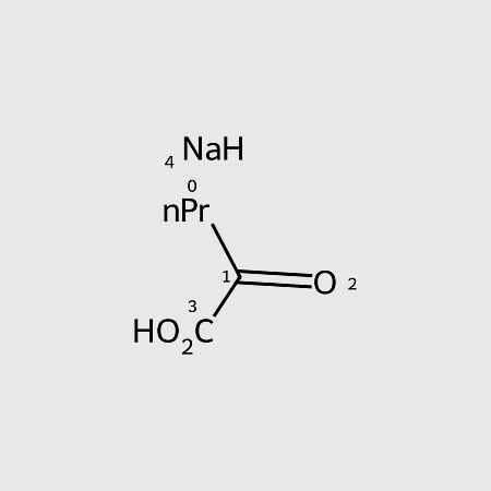 CCCC(=O)C(=O)O.[NaH]